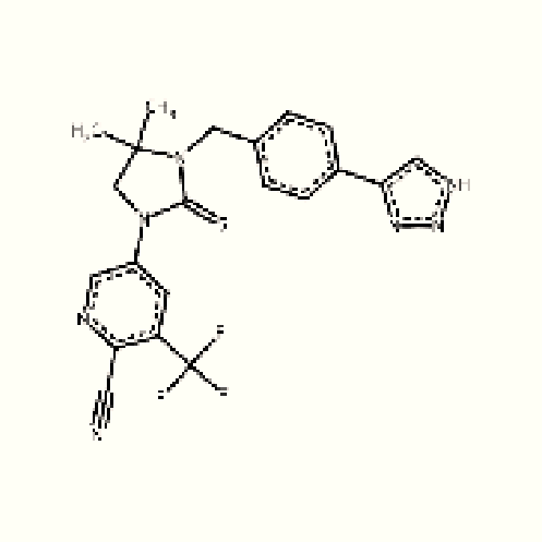 CC1(C)CN(c2cnc(C#N)c(C(F)(F)F)c2)C(=S)N1Cc1ccc(-c2c[nH]nn2)cc1